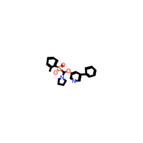 Cc1ccccc1S(=O)(=O)C(Oc1cncc(-c2ccccc2)c1)N1CCCC1